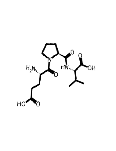 CC(C)[C@H](NC(=O)[C@@H]1CCCN1C(=O)[C@@H](N)CCC(=O)O)C(=O)O